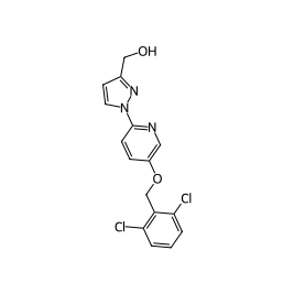 OCc1ccn(-c2ccc(OCc3c(Cl)cccc3Cl)cn2)n1